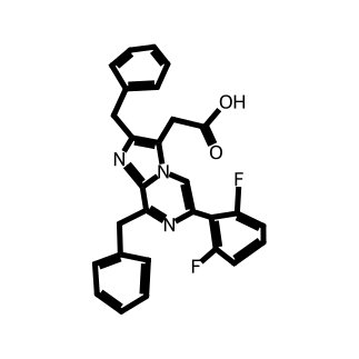 O=C(O)Cc1c(Cc2ccccc2)nc2c(Cc3ccccc3)nc(-c3c(F)cccc3F)cn12